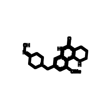 COc1cc(CN2CCC(=NO)CC2)cc2[nH]c(=O)c3c(c12)NCCC3